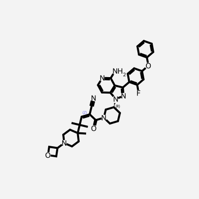 CC(C)(/C=C(/C#N)C(=O)N1CCC[C@@H](n2nc(-c3ccc(Oc4ccccc4)cc3F)c3c(N)nccc32)C1)C1(C)CCN(C2COC2)CC1